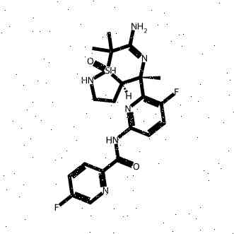 CC1(C)C(N)=N[C@](C)(c2nc(NC(=O)c3ccc(F)cn3)ccc2F)[C@H]2CCN[SH]21=O